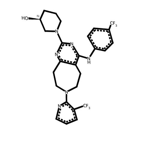 O[C@H]1CCCN(c2nc3c(c(Nc4ccc(C(F)(F)F)cc4)n2)CCN(c2ncccc2C(F)(F)F)CC3)C1